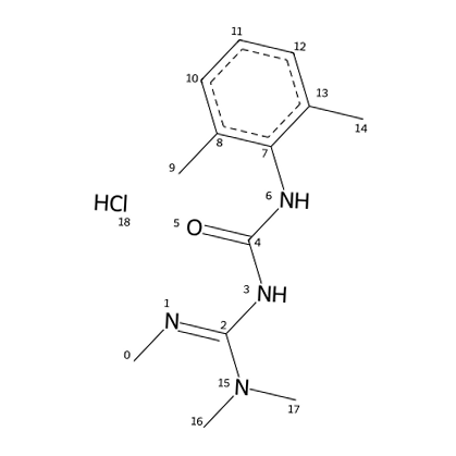 CN=C(NC(=O)Nc1c(C)cccc1C)N(C)C.Cl